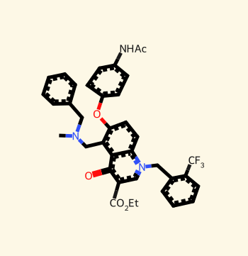 CCOC(=O)c1cn(Cc2ccccc2C(F)(F)F)c2ccc(Oc3ccc(NC(C)=O)cc3)c(CN(C)Cc3ccccc3)c2c1=O